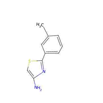 Cc1cccc(-c2nc(N)cs2)c1